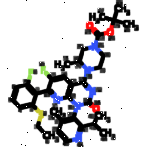 CCSc1cccc(F)c1-c1nc2c(cc1F)c(N1CCN(C(=O)OC(C)(C)C)C[C@@H]1C)nc(=O)n2-c1c(C)ccnc1C(C)C